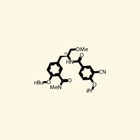 CCCCOc1ccc(C[C@@H](COC)NC(=O)c2ccc(OC(C)C)c(C#N)c2)cc1C(=O)NC